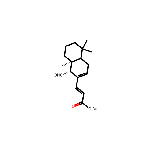 CC(C)COC(=O)/C=C/C1=CCC2C(C)(C)CCC[C@]2(C)[C@H]1C=O